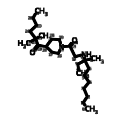 CCCCCCCC(C)(CC)NCC(=O)N1CCC(C(=O)C(C)(C)CCCC)CC1